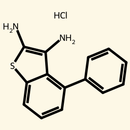 Cl.Nc1sc2cccc(-c3ccccc3)c2c1N